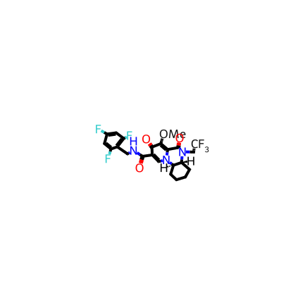 COc1c2n(cc(C(=O)NCc3c(F)cc(F)cc3F)c1=O)[C@@H]1CCCC[C@H]1N(CC(F)(F)F)C2=O